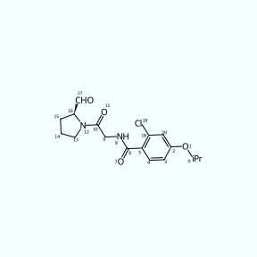 CC(C)Oc1ccc(C(=O)NCC(=O)N2CCC[C@H]2C=O)c(Cl)c1